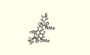 CCCc1cc2oc(-c3ccc(F)cc3)c(C(=O)NC)c2cc1-c1cc(C(=O)NC23CCC(C2)C3)c(OC)cc1C